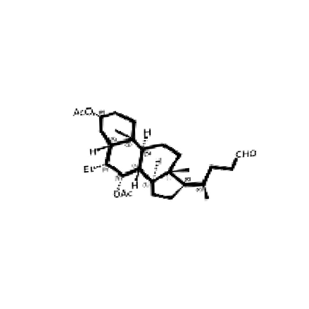 CC[C@H]1[C@@H](OC(C)=O)[C@@H]2[C@H](CC[C@]3(C)[C@@H]([C@H](C)CCC=O)CC[C@@H]23)[C@@]2(C)CC[C@@H](OC(C)=O)C[C@@H]12